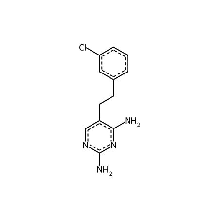 Nc1ncc(CCc2cccc(Cl)c2)c(N)n1